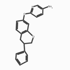 Nc1ccc(Oc2ccc3c(c2)OCC(c2ccccc2)C3)nc1